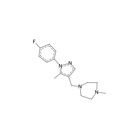 Cc1c(CN2CCN(C)CC2)cnn1-c1ccc(F)cc1